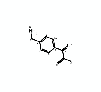 C=C(C)C(=O)c1ccc(CN)cc1